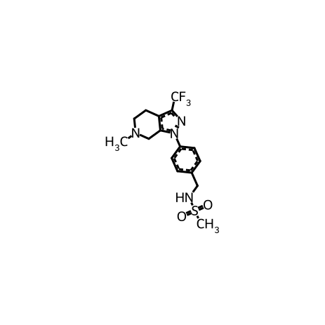 CN1CCc2c(C(F)(F)F)nn(-c3ccc(CNS(C)(=O)=O)cc3)c2C1